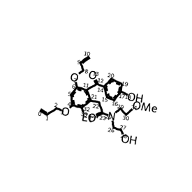 C=CCOc1cc(OCC=C)c(C(=O)c2ccc(O)cc2)c(CC(=O)N(CCO)CCOC)c1CC